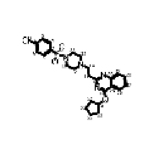 O=S(=O)(c1ccc(Cl)cc1)N1CCN(CCc2nc(OC3CCCC3)c3ccccc3n2)CC1